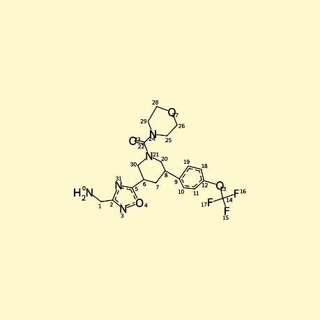 NCc1noc(C2CC(c3ccc(OC(F)(F)F)cc3)CN(C(=O)N3CCOCC3)C2)n1